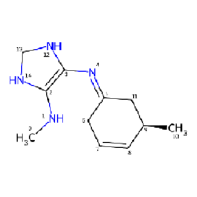 CNC1=C(/N=C2\CC=C[C@H](C)C2)NCN1